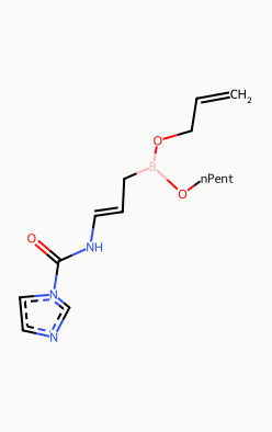 C=CCOB(CC=CNC(=O)n1ccnc1)OCCCCC